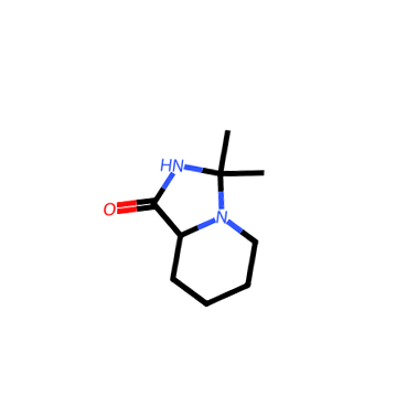 CC1(C)NC(=O)C2CCCCN21